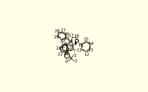 CC(C)(C)OC(=O)/C=C1/P(c2ccccc2)CCC1(c1ccccc1)c1ccccc1